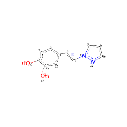 Oc1ccc(/C=C/n2cccn2)cc1O